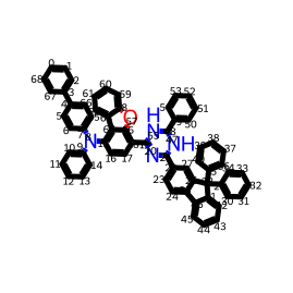 c1ccc(-c2ccc(N(c3ccccc3)c3ccc(C4=NC(c5ccc6c(c5)C(c5ccccc5)(c5ccccc5)c5ccccc5-6)NC(c5ccccc5)N4)c4oc5ccccc5c34)cc2)cc1